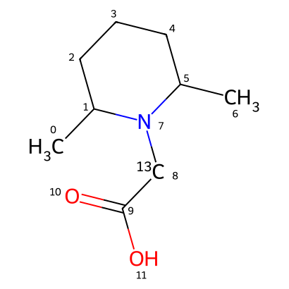 CC1CCCC(C)N1[13CH2]C(=O)O